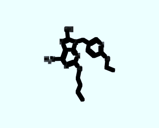 CCCCOc1nc(N)c2nc(O)n(Cc3ccc(OCC)nc3)c2n1